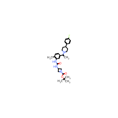 C=C(c1ccc(C)c(NC(=O)NC2CN(C(=O)OC(C)(C)C)C2)c1)N1CCC(c2ccc(F)cc2)CC1